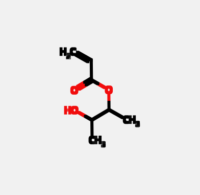 C=CC(=O)OC(C)C(C)O